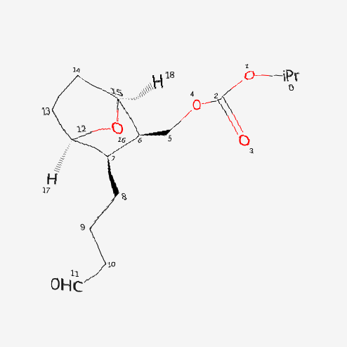 CC(C)OC(=O)OC[C@H]1[C@@H](CCCC=O)[C@H]2CC[C@@H]1O2